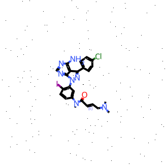 CN(C)C/C=C/C(=O)N(C)c1ccc(I)c(-n2nc(-c3ccc(Cl)cc3)c3c(N)ncnc32)c1